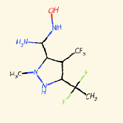 CN1NC(C(C)(F)F)C(C(F)(F)F)C1C(N)NO